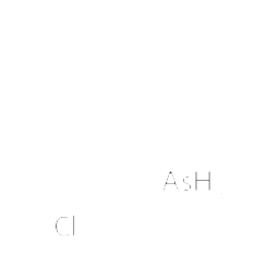 C=CCCl.[AsH3]